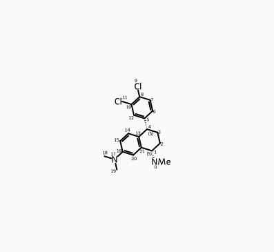 CN[C@H]1CC[C@@H](c2ccc(Cl)c(Cl)c2)c2ccc(N(C)C)cc21